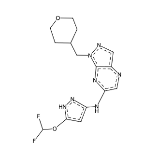 FC(F)Oc1cc(Nc2cnc3cnn(CC4CCOCC4)c3n2)n[nH]1